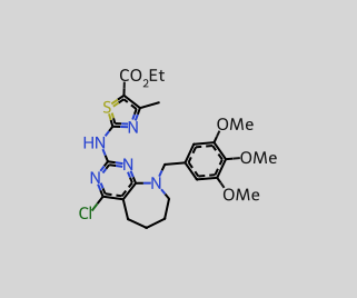 CCOC(=O)c1sc(Nc2nc(Cl)c3c(n2)N(Cc2cc(OC)c(OC)c(OC)c2)CCCC3)nc1C